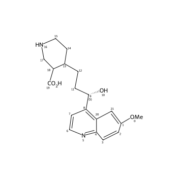 COc1ccc2nccc([C@@H](O)CCC3CCNCC3C(=O)O)c2c1